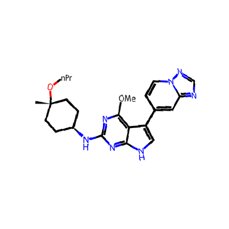 CCCO[C@]1(C)CC[C@@H](Nc2nc(OC)c3c(-c4ccn5ncnc5c4)c[nH]c3n2)CC1